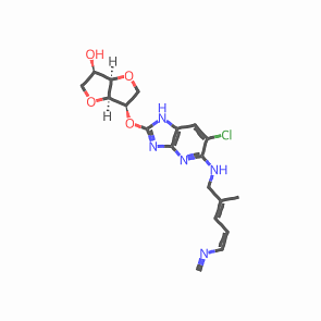 C=N/C=C\C=C(/C)CNc1nc2nc(O[C@@H]3CO[C@H]4[C@@H]3OC[C@H]4O)[nH]c2cc1Cl